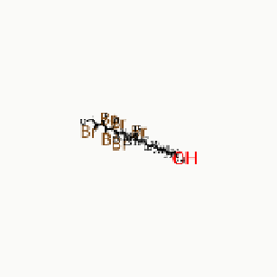 CCC(Br)C(Br)CC(Br)C(Br)CC(Br)C(Br)CCCCCCCCO